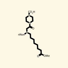 CCCCCCCCCN(CCCCCCCC(=O)OC)CC(=O)N1CCN(C(=O)O)CC1